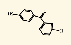 O=C(c1ccc(S)cc1)c1cccc(Cl)c1